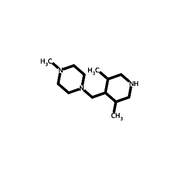 CC1CNCC(C)C1CN1CCN(C)CC1